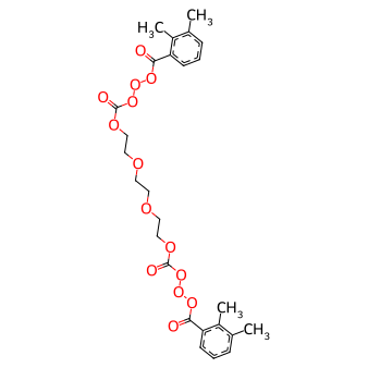 Cc1cccc(C(=O)OOOC(=O)OCCOCCOCCOC(=O)OOOC(=O)c2cccc(C)c2C)c1C